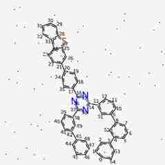 c1ccc(-c2cccc(-c3cccc(-c4nc(-c5ccc(-c6ccc7c(c6)sc6ccccc67)cc5)nc(-c5cccc(-c6ccccc6)c5)n4)c3)c2)cc1